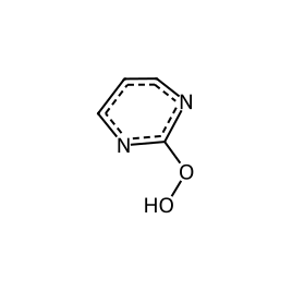 OOc1ncccn1